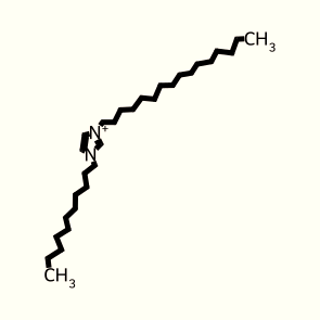 CCCCCCCCCCCCCCCC[n+]1ccn(CCCCCCCCCCC)c1